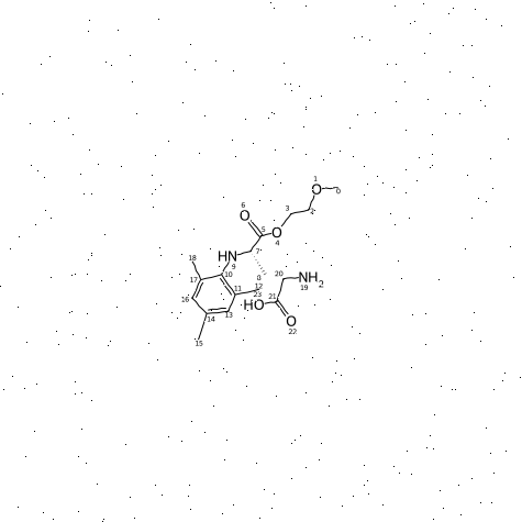 COCCOC(=O)[C@H](C)Nc1c(C)cc(C)cc1C.NCC(=O)O